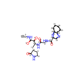 CC(C)(C)NC(=O)C(=O)C(C[C@@H]1CCNC1=O)NC(=O)CNC(=O)c1cnc2ccccc2n1